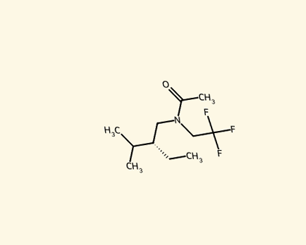 CC[C@@H](CN(CC(F)(F)F)C(C)=O)C(C)C